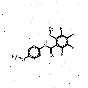 CCSc1c(F)c(CC)c(F)c(F)c1C(=O)Nc1ccc(OC(F)(F)F)cc1